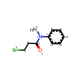 CCCN(C(=O)CCBr)c1ccccc1